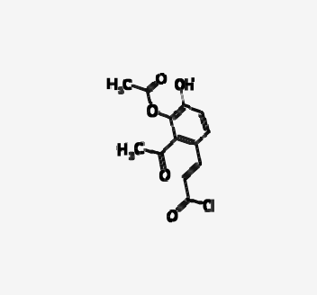 CC(=O)Oc1c(O)ccc(C=CC(=O)Cl)c1C(C)=O